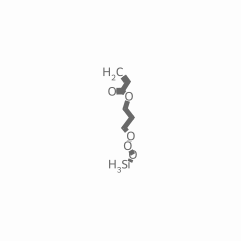 C=CC(=O)OCCCOOO[SiH3]